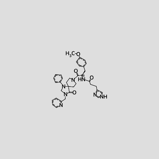 COc1ccc(C[C@@H](NC(=O)CCc2c[nH]cn2)C(=O)N2CCC3(CC2)C(=O)N(Cc2ccccn2)CN3c2ccccc2)cc1